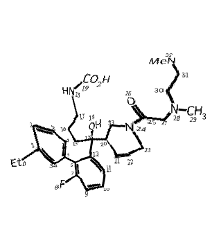 CCc1cccc(-c2c(F)cccc2[C@](O)(CCCNC(=O)O)[C@@H]2CCCN(C(=O)CN(C)CCNC)C2)c1